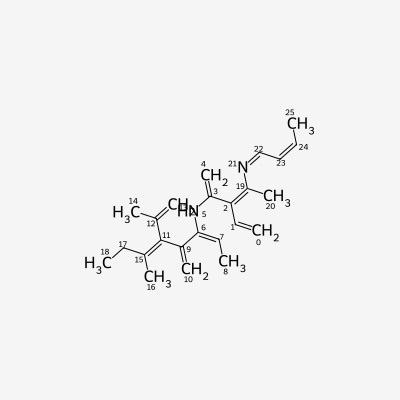 C=C/C(C(=C)N/C(=C/C)C(=C)/C(C(=C)C)=C(\C)CC)=C(C)/N=C\C=C/C